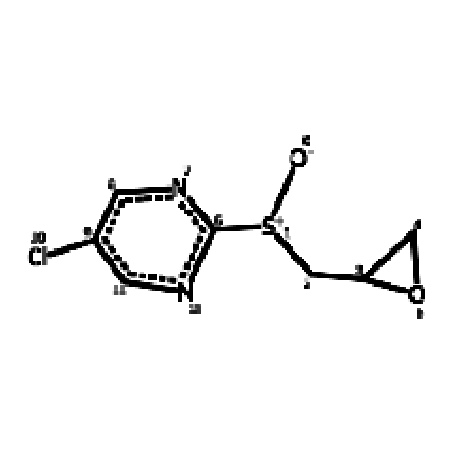 [O-][S+](CC1CO1)c1ncc(Cl)cn1